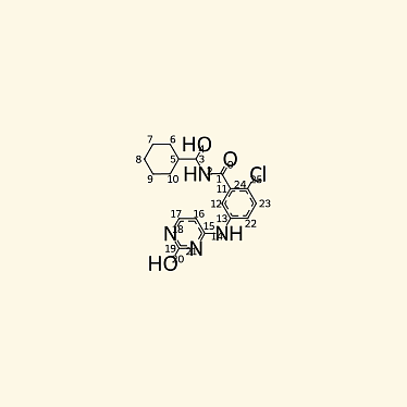 O=C(NC(O)C1CCCCC1)c1cc(Nc2ccnc(O)n2)ccc1Cl